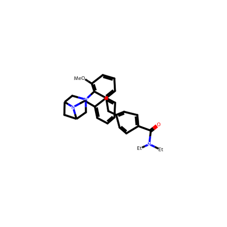 CCN(CC)C(=O)c1ccc(Cc2cccc(OC)c2N2CC3CC(C2)N3Cc2ccccc2)cc1